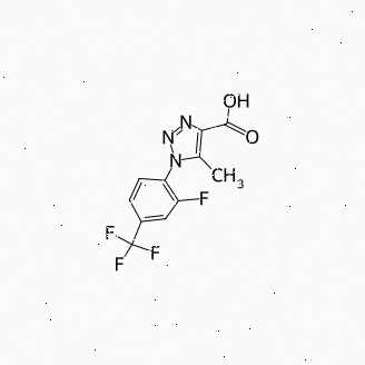 Cc1c(C(=O)O)nnn1-c1ccc(C(F)(F)F)cc1F